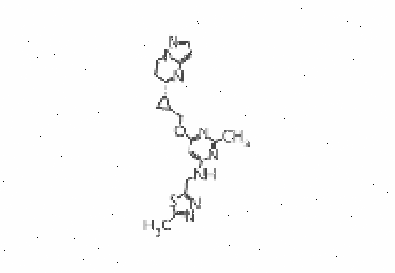 Cc1nc(NCc2nnc(C)s2)cc(OC[C@H]2C[C@@H]2c2ccn3nccc3n2)n1